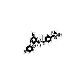 O=C(NCc1ccc(-c2nn[nH]n2)cc1)c1cc(F)cnc1Oc1ccc(F)cc1